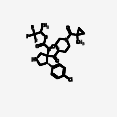 CC(OC(=O)N(C)[C@]1(C(=O)C2CCN(C(=O)C3(C)CC3)CC2)CNC[C@H]1c1ccc(Cl)cc1)C(F)(F)F